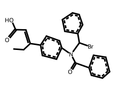 CC/C(=C\C(=O)O)c1ccc(N(C(=O)c2ccccc2)C(Br)c2ccccc2)cc1